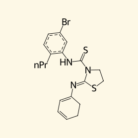 CCCc1ccc(Br)cc1NC(=S)N1CCSC1=NC1=CC=CCC1